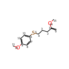 C=C(CCCSc1ccc(OC)cc1)OC